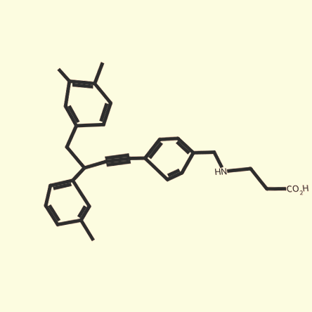 Cc1cccc(C(C#Cc2ccc(CNCCC(=O)O)cc2)Cc2ccc(C)c(C)c2)c1